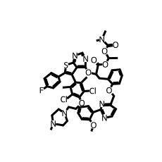 COc1ccccc1-c1nccc(COc2ccccc2CC(Oc2ncnc3sc(-c4ccc(F)cc4)c(-c4c(C)c(Cl)c(OCCN5CCN(C)CC5)c(Cl)c4C)c23)C(=O)OC(C)OC(=O)N(C)C)n1